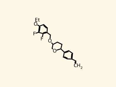 C=Cc1ccc(C2CCC(OCc3ccc(OCC)c(F)c3F)CO2)cc1